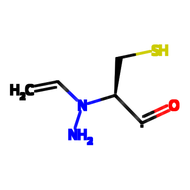 C=CN(N)[C@H]([C]=O)CS